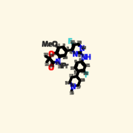 COc1cc(-c2nc(Nc3ccc(C4CCN(C)CC4)c(F)c3)ncc2F)cc2c1OC(C)(C)C(=O)N2C(C)C